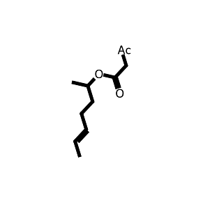 CC=CCCC(C)OC(=O)CC(C)=O